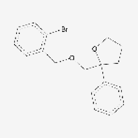 Brc1ccccc1COCC1(c2ccccc2)CCCO1